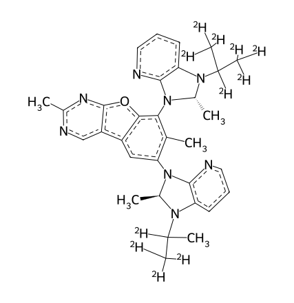 [2H]C([2H])([2H])C([2H])(C)N1c2cccnc2N(c2cc3c(oc4nc(C)ncc43)c(N3c4ncccc4N(C([2H])(C([2H])([2H])[2H])C([2H])([2H])[2H])[C@@H]3C)c2C)[C@@H]1C